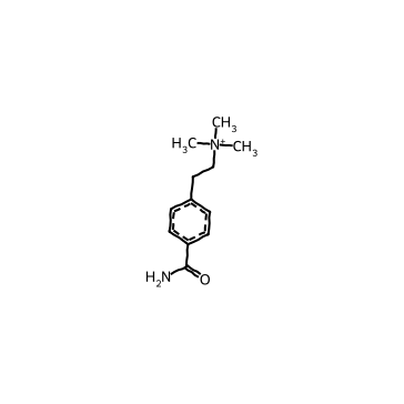 C[N+](C)(C)CCc1ccc(C(N)=O)cc1